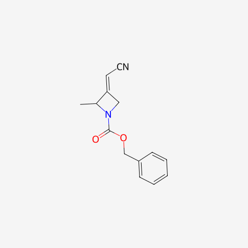 CC1/C(=C/C#N)CN1C(=O)OCc1ccccc1